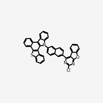 Clc1nc(-c2ccc3cc(-n4c5ccccc5c5c6ccccc6c6sc7ccccc7c6c54)ccc3c2)c2c(n1)oc1ccccc12